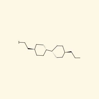 CCC[C@H]1CC[C@H]([C@H]2CC[C@H](CCI)CC2)CC1